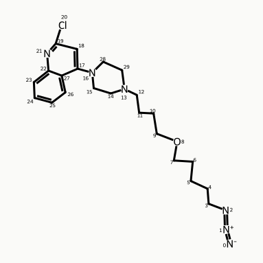 [N-]=[N+]=NCCCCCOCCCCN1CCN(c2cc(Cl)nc3ccccc23)CC1